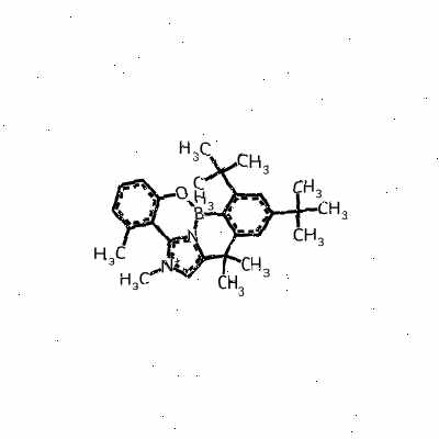 Cc1cccc2c1-c1n3c(c[n+]1C)C(C)(C)c1cc(C(C)(C)C)cc(C(C)(C)C)c1B3O2